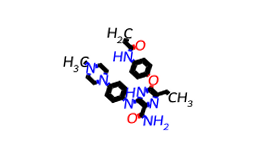 C=CC(=O)Nc1ccc(Oc2nc(Nc3ccc(N4CCN(C)CC4)cc3)c(C(N)=O)nc2CC)cc1